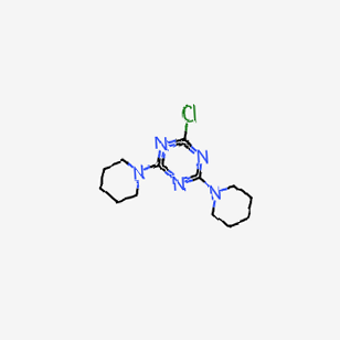 Clc1nc(N2CCCCC2)nc(N2CCCCC2)n1